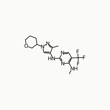 CNc1nc(Nc2cn(C3CCCOC3)nc2C)ncc1C(F)(F)F